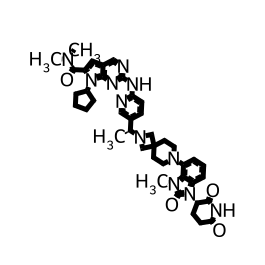 C[C@H](c1ccc(Nc2ncc3cc(C(=O)N(C)C)n(C4CCCC4)c3n2)nc1)N1CC2(CCN(c3cccc4c3n(C)c(=O)n4[C@H]3CCC(=O)NC3=O)CC2)C1